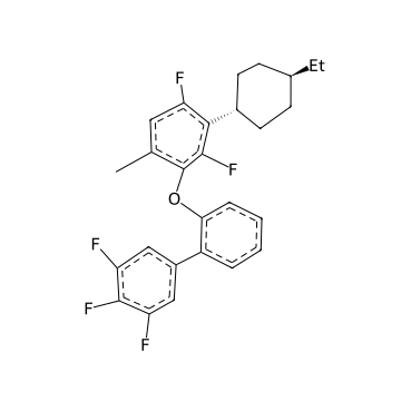 CC[C@H]1CC[C@H](c2c(F)cc(C)c(Oc3ccccc3-c3cc(F)c(F)c(F)c3)c2F)CC1